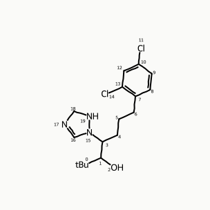 CC(C)(C)C(O)C(CCCc1ccc(Cl)cc1Cl)N1C=NCN1